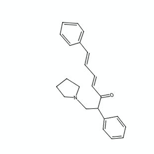 O=C(C=CC=Cc1ccccc1)C(CN1CCCC1)c1ccccc1